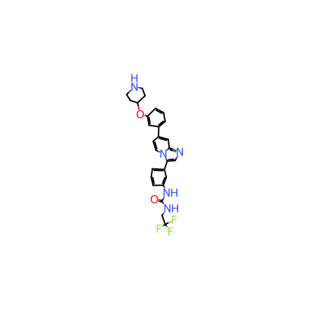 O=C(NCC(F)(F)F)Nc1cccc(-c2cnc3cc(-c4cccc(OC5CCNCC5)c4)ccn23)c1